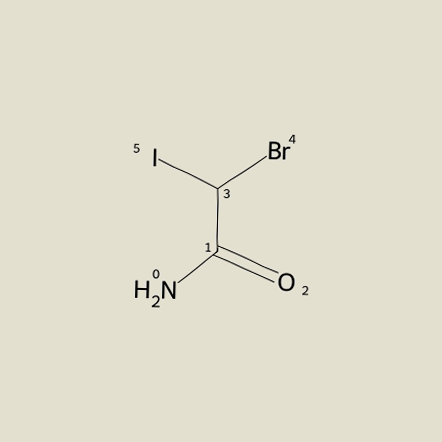 NC(=O)C(Br)I